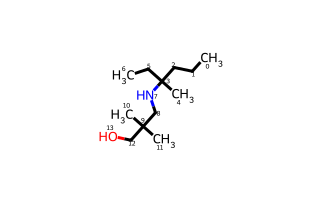 CCCC(C)(CC)NCC(C)(C)CO